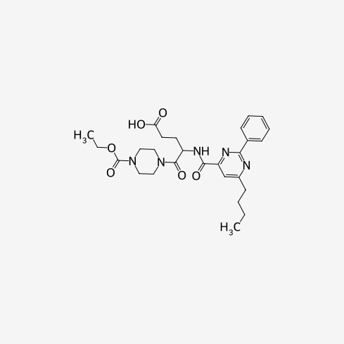 CCCCc1cc(C(=O)NC(CCC(=O)O)C(=O)N2CCN(C(=O)OCC)CC2)nc(-c2ccccc2)n1